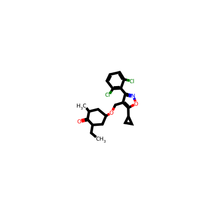 CCC1CC(OCc2c(-c3c(Cl)cccc3Cl)noc2C2CC2)CC(C)C1=O